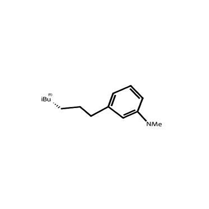 CC[C@@H](C)CCCc1cccc(NC)c1